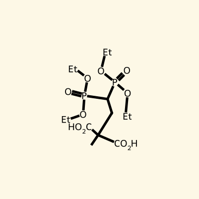 CCOP(=O)(OCC)C(CC(C)(C(=O)O)C(=O)O)P(=O)(OCC)OCC